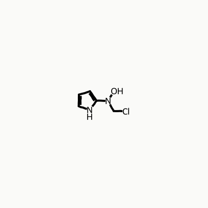 ON(CCl)c1ccc[nH]1